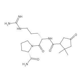 CC1(C)CC(=O)CC1C(=O)N[C@@H](CCCNC(=N)N)C(=O)N1CCC[C@H]1C(N)=O